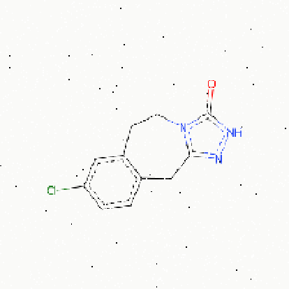 O=c1[nH]nc2n1CCc1cc(Cl)ccc1C2